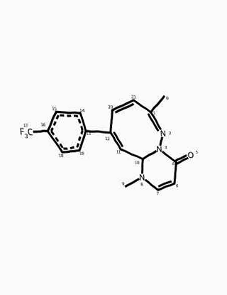 CC1=NN2C(=O)C=CN(C)C2C=C(c2ccc(C(F)(F)F)cc2)C=C1